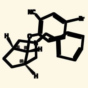 N#Cc1cc(Br)ccc1O[C@@H]1[C@@H]2CC[C@H]1CN(Cc1ccccc1)C2